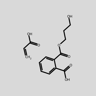 C=CC(=O)O.O=C(O)c1ccccc1C(=O)OCCCO